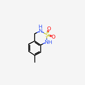 Cc1ccc2c(c1)NS(=O)(=O)NC2